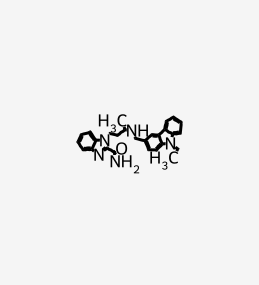 CCn1c2ccccc2c2cc(CNC(C)CCn3c(C(N)=O)nc4ccccc43)ccc21